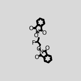 O=C1c2ccccc2C(=O)N1OCC(F)CON1C(=O)c2ccccc2C1=O